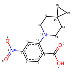 O=C(O)c1ccc([N+](=O)[O-])cc1N1CCC2(CC1)CC2